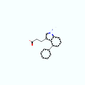 Cn1cc(CCC(=O)O)c2c(-c3ccccc3)cccc21